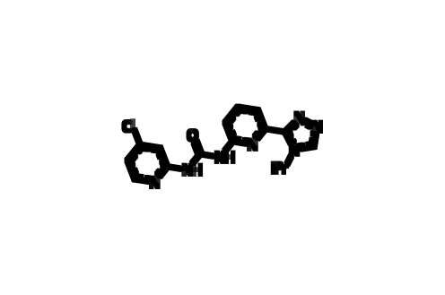 CC(C)n1cnnc1-c1cccc(NC(=O)Nc2cc(Cl)ccn2)n1